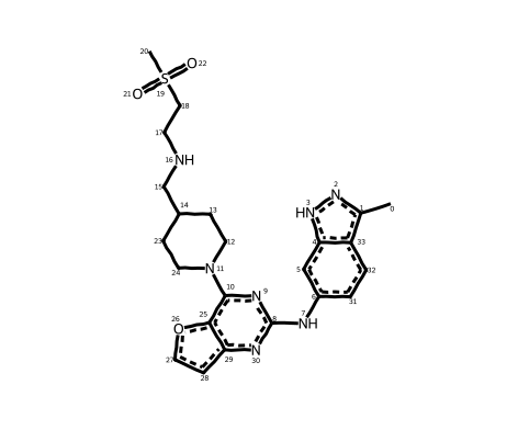 Cc1n[nH]c2cc(Nc3nc(N4CCC(CNCCS(C)(=O)=O)CC4)c4occc4n3)ccc12